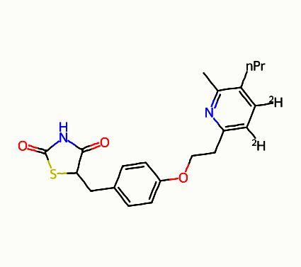 [2H]c1c(CCOc2ccc(CC3SC(=O)NC3=O)cc2)nc(C)c(CCC)c1[2H]